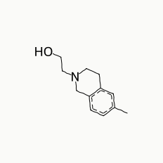 Cc1ccc2c(c1)CCN(CCO)C2